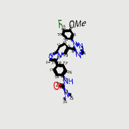 COc1cc(-n2ncnc2-c2ccc3ncc(-c4ccc(NC(=O)N(C)C)cc4)n3c2)ccc1F